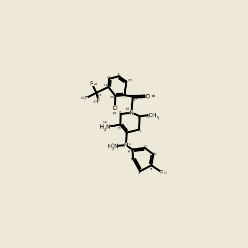 CC1CC(N(N)c2ccc(F)cc2)=C(N)CN1C(=O)c1cccc(C(F)(F)F)c1Cl